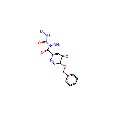 CCNC(=O)N(N)C(=O)C1=CC(=O)C(OCc2ccccc2)C=N1